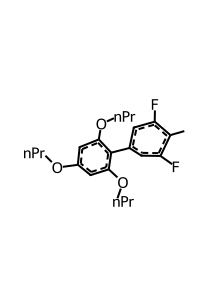 CCCOc1cc(OCCC)c(-c2cc(F)c(C)c(F)c2)c(OCCC)c1